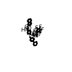 CN(CC(=O)N(Cc1ccc(C2CCCCC2)cc1)c1ccc(NS(=O)(=O)c2ccc3ccccc3c2)cc1)S(=O)(=O)c1c(F)c(F)c(F)c(F)c1F